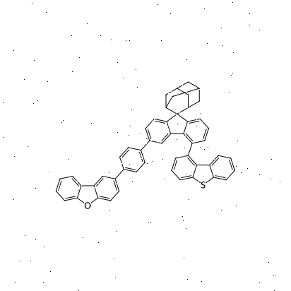 c1cc(-c2cccc3sc4ccccc4c23)c2c(c1)C1(c3ccc(-c4ccc(-c5ccc6oc7ccccc7c6c5)cc4)cc3-2)C2CC3CC(C2)CC1C3